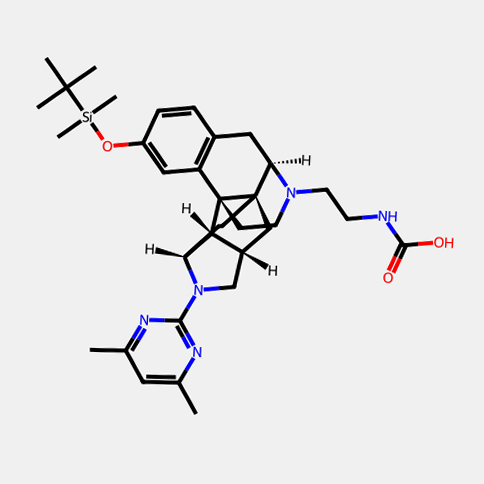 Cc1cc(C)nc(N2C[C@H]3C[C@@]45CC[C@@H]2[C@@H]3[C@@]42CCN(CCNC(=O)O)[C@@H]5Cc3ccc(O[Si](C)(C)C(C)(C)C)cc32)n1